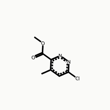 COC(=O)c1nnc(Cl)cc1C